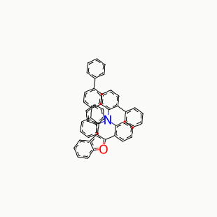 c1ccc(-c2ccc(-c3ccccc3N(c3ccccc3-c3ccccc3)c3ccccc3-c3oc4ccccc4c3-c3ccccc3)cc2)cc1